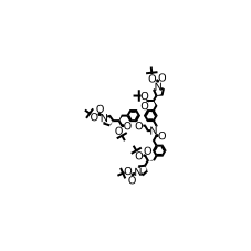 CC(C)(C)OC(=O)[C@H](Cc1cccc(CC(=O)N(CCOc2cccc(C[C@@H](C(=O)OC(C)(C)C)[C@@H]3CCN(C(=O)OC(C)(C)C)C3)c2)Cc2cccc(C[C@@H](C(=O)OC(C)(C)C)[C@@H]3CCN(C(=O)OC(C)(C)C)C3)c2)c1)[C@@H]1CCN(C(=O)OC(C)(C)C)C1